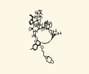 C=C[C@@H]1C=C[C@]1(NC(=O)[C@@H]1C[C@@H]2CN1C(=O)[C@H](C(C)(C)C)NC(=O)O[C@@H]1C3C(CCCCc4c(nc5cc(C)ccc5c4OCCCN4CCOCC4)O2)[C@H]31)C(=O)NS(=O)(=O)C1(C)CC1